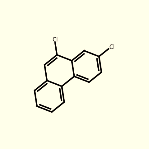 Clc1[c]c2c(Cl)cc3c[c]ccc3c2cc1